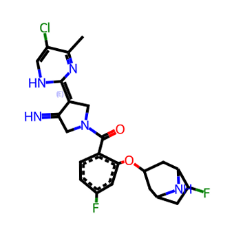 CC1=N/C(=C2\CN(C(=O)c3ccc(F)cc3OC3CC4CC(F)C(C3)N4)CC2=N)NC=C1Cl